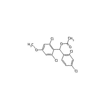 COc1cc(Cl)c(C(OC(C)=O)c2ccc(Cl)cc2Cl)c(Cl)c1